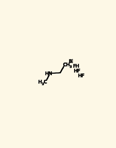 CCNC.F.F.F.[B]